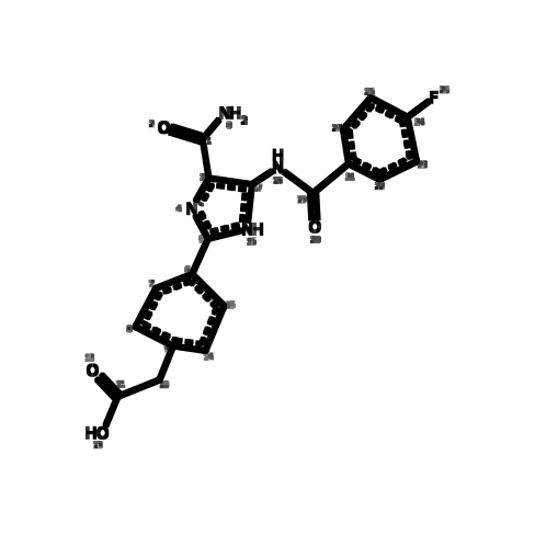 NC(=O)c1nc(-c2ccc(CC(=O)O)cc2)[nH]c1NC(=O)c1ccc(F)cc1